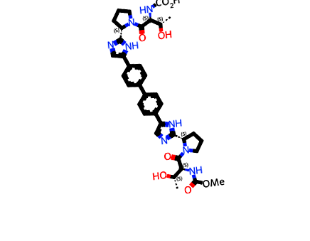 COC(=O)N[C@H](C(=O)N1CCC[C@H]1c1ncc(-c2ccc(-c3ccc(-c4cnc([C@@H]5CCCN5C(=O)[C@@H](NC(=O)O)[C@H](C)O)[nH]4)cc3)cc2)[nH]1)[C@H](C)O